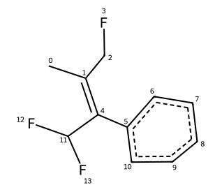 CC(CF)=C(c1ccccc1)C(F)F